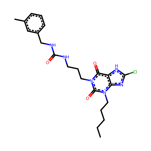 CCCCCn1c(=O)n(CCCNC(=O)NCc2cccc(C)c2)c(=O)c2[nH]c(Cl)nc21